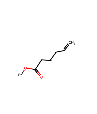 C=CC[CH]CC(=O)OCC